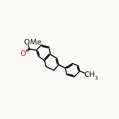 COC(=O)c1ccc2c(c1)CCC(c1ccc(C)cc1)=C2